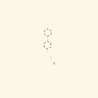 C=CCCC(C)c1ccc(-c2ccccc2)cc1